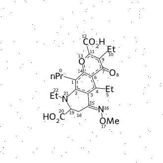 CCCc1c2c(c(CC)c3c(=O)c(CC)c(C(=O)O)oc13)C(=NOC)CC(C(=O)O)N2CC